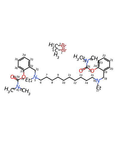 CBr.CBr.CCN(CCCCCCCCCCN(CC)Cc1ccccc1OC(=O)N(C)C)Cc1ccccc1OC(=O)N(C)C